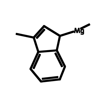 [CH3][Mg][CH]1C=C(C)c2ccccc21